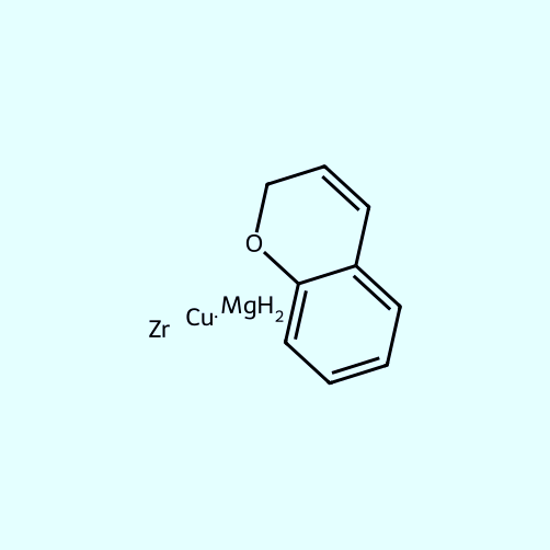 C1=Cc2ccccc2OC1.[Cu].[MgH2].[Zr]